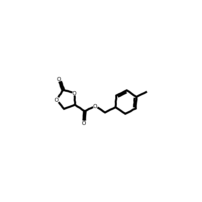 CC1=CCC(COC(=O)C2COC(=O)O2)C=C1